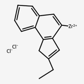 CCC1=Cc2[c]([Zr+2])cc3ccccc3c2C1.[Cl-].[Cl-]